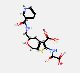 O=C(O)C(=O)Nc1sc2c(c1C(=O)O)CC(CNC(=O)c1cccnc1)OC2